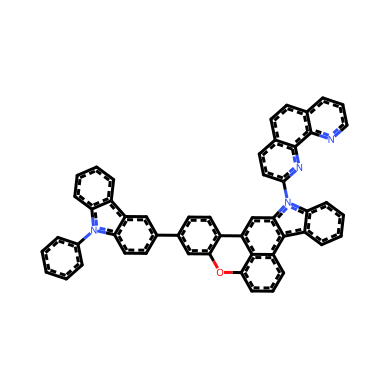 c1ccc(-n2c3ccccc3c3cc(-c4ccc5c(c4)Oc4cccc6c4c-5cc4c6c5ccccc5n4-c4ccc5ccc6cccnc6c5n4)ccc32)cc1